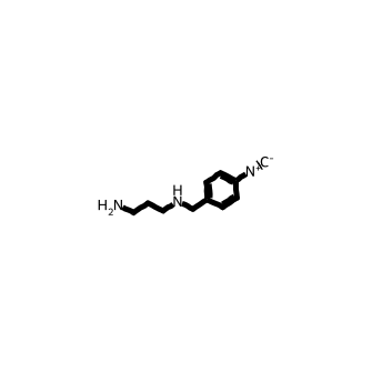 [C-]#[N+]c1ccc(CNCCCN)cc1